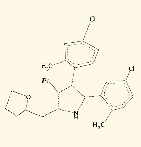 Cc1ccc(Cl)cc1C1NC(CC2CCCO2)C(C(C)C)C1c1ccc(Cl)cc1C